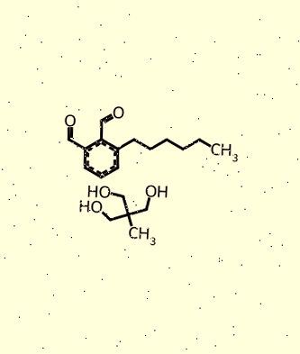 CC(CO)(CO)CO.CCCCCCc1cccc(C=O)c1C=O